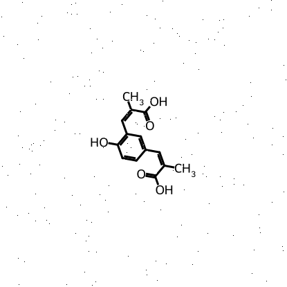 CC(=Cc1ccc(O)c(C=C(C)C(=O)O)c1)C(=O)O